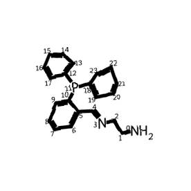 NCCN=Cc1ccccc1P(c1ccccc1)c1ccccc1